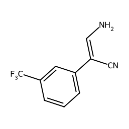 N#CC(=CN)c1cccc(C(F)(F)F)c1